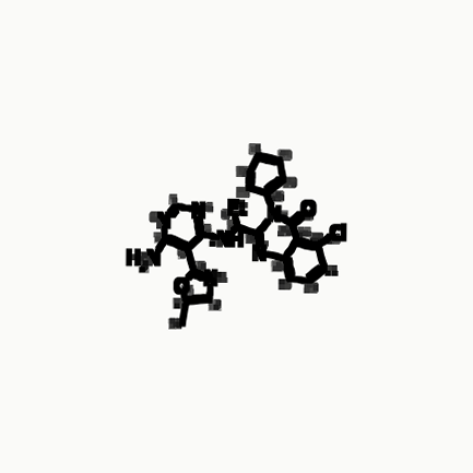 CCC(Nc1ncnc(N)c1-c1ncc(C)o1)c1nc2cccc(Cl)c2c(=O)n1-c1ccccc1